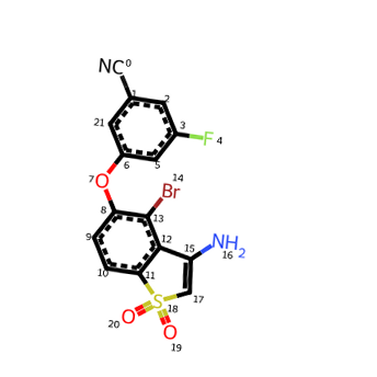 N#Cc1cc(F)cc(Oc2ccc3c(c2Br)C(N)=CS3(=O)=O)c1